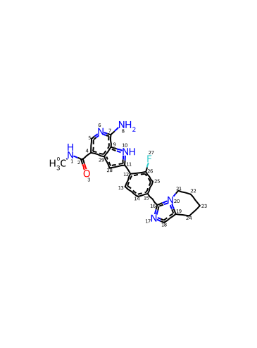 CNC(=O)c1cnc(N)c2[nH]c(-c3ccc(-c4ncc5n4CCCC5)cc3F)cc12